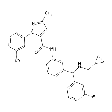 N#Cc1cccc(-n2nc(C(F)(F)F)cc2C(=O)Nc2cccc(C(NCC3CC3)c3cccc(F)c3)c2)c1